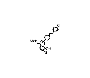 CNCC1OC(C2CCN(CCc3ccc(Cl)cc3)CC2)=Cc2c1ccc(O)c2O